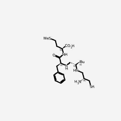 CC[C@H](C)[C@@H](CN[C@@H](Cc1ccccc1)C(=O)N[C@@H](CCSC)C(=O)O)NC[C@@H](N)CS